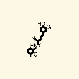 COc1cc(/C=C/C=C(\C#N)C(=O)NCc2cccc(C)c2OC)ccc1O